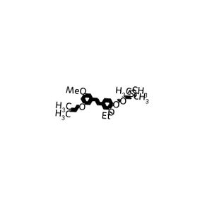 CCOc1cc(C=Cc2cc(OC)cc(OCC=C(C)C)c2)ccc1OCOCC[Si](C)(C)C